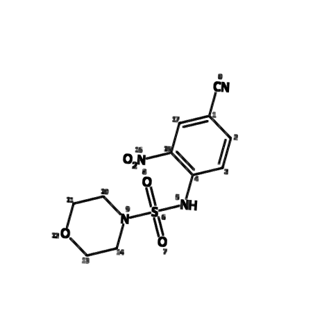 N#Cc1ccc(NS(=O)(=O)N2CCOCC2)c([N+](=O)[O-])c1